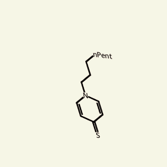 CCCCCCCCn1ccc(=S)cc1